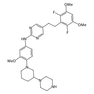 COc1cc(Nc2ncc(CCc3c(F)c(OC)cc(OC)c3F)cn2)ccc1N1CCCC(N2CCNCC2)C1